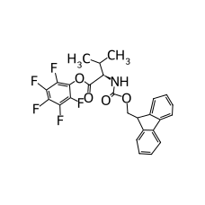 CC(C)[C@@H](NC(=O)OCC1c2ccccc2-c2ccccc21)C(=O)Oc1c(F)c(F)c(F)c(F)c1F